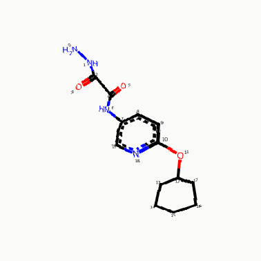 NNC(=O)C(=O)Nc1ccc(OC2CCCCC2)nc1